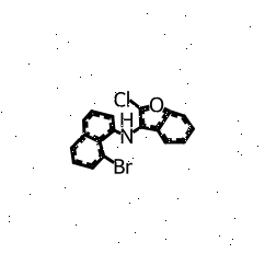 Clc1oc2ccccc2c1Nc1cccc2cccc(Br)c12